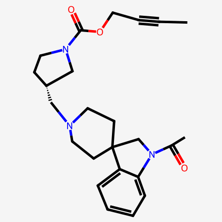 CC#CCOC(=O)N1CC[C@@H](CN2CCC3(CC2)CN(C(C)=O)c2ccccc23)C1